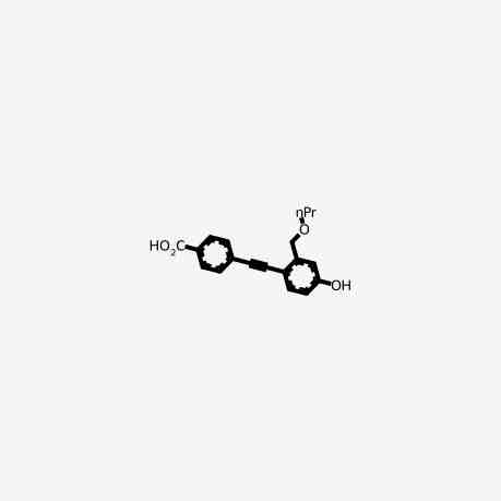 CCCOCc1cc(O)ccc1C#Cc1ccc(C(=O)O)cc1